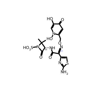 CC1(C)[C@H](NC(=O)/C(=N\OCc2cc(=O)c(O)cn2O)c2csc(N)n2)C(=O)N1S(=O)(=O)O